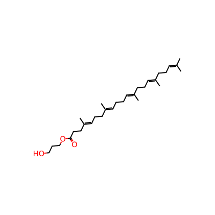 CC(C)=CCC/C(C)=C/CC/C(C)=C/CC/C=C(\C)CC/C=C(\C)CCC(=O)OCCCO